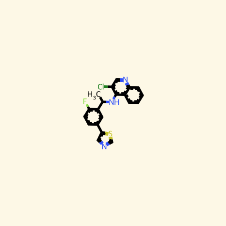 CC(Nc1c(Cl)cnc2ccccc12)c1cc(-c2cncs2)ccc1F